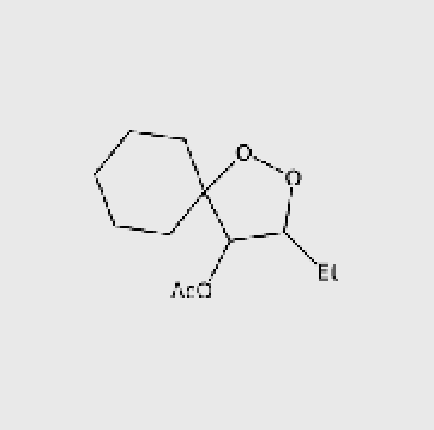 CCC1OOC2(CCCCC2)C1OC(C)=O